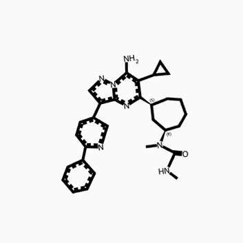 CNC(=O)N(C)[C@@H]1CCCC[C@H](c2nc3c(-c4ccc(-c5ccccc5)nc4)cnn3c(N)c2C2CC2)C1